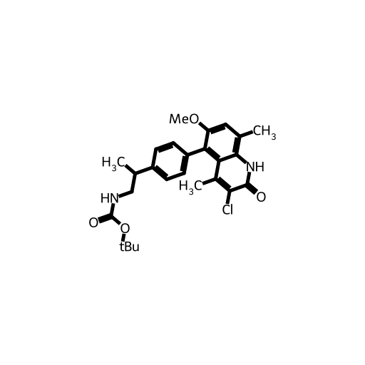 COc1cc(C)c2[nH]c(=O)c(Cl)c(C)c2c1-c1ccc(C(C)CNC(=O)OC(C)(C)C)cc1